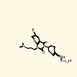 CN(C)CCCn1c(=O)n(C2CCC(NC(=O)O)CC2)c(=O)c2cc(F)cnc21